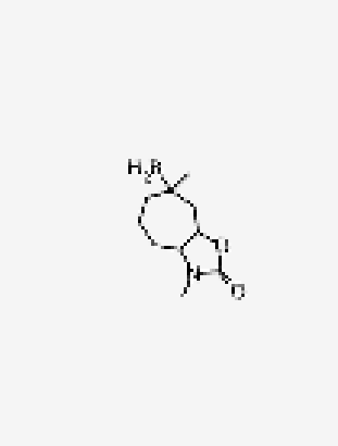 BC1(C)CCCC2C(C1)OC(=O)N2C